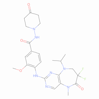 COc1cc(C(=O)NN2CCC(=O)CC2)ccc1Nc1ncc2c(n1)N(C(C)C)CC(F)(F)C(=O)N2C